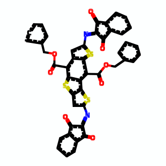 O=C(OCc1ccccc1)c1c2cc(N=c3c(=O)c4ccccc4c3=O)sc2c(C(=O)OCc2ccccc2)c2c1sc1cc(N=c3c(=O)c4ccccc4c3=O)sc12